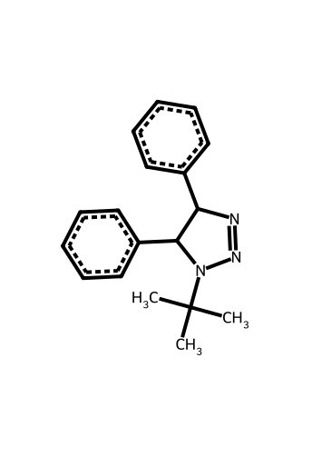 CC(C)(C)N1N=NC(c2ccccc2)C1c1ccccc1